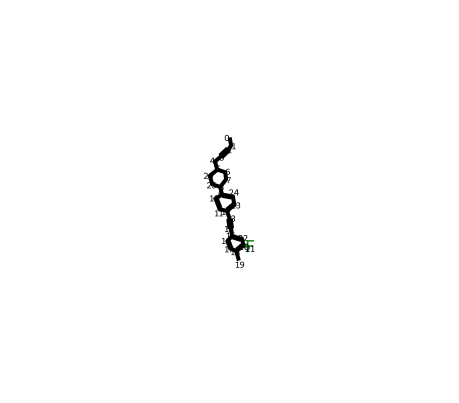 CCC#CCC1CCC(c2ccc(C#Cc3ccc(C)c(F)c3)cc2)CC1